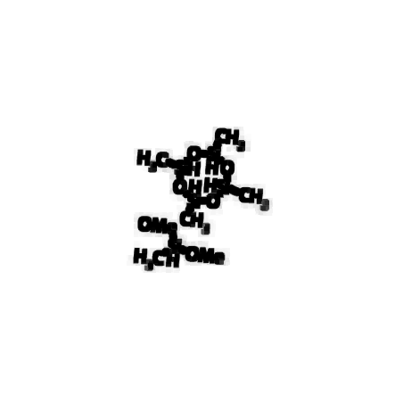 CO[SiH](C)OC.C[SiH]1O[SiH](C)O[SiH](C)O[SiH](C)O1